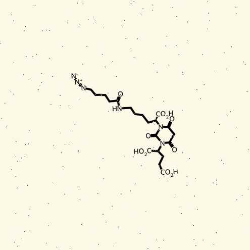 [N-]=[N+]=NCCCCC(=O)NCCCC[C@@H](C(=O)O)N1C(=O)CC(=O)N(C(CCC(=O)O)C(=O)O)C1=O